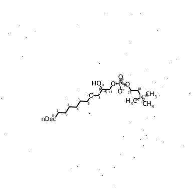 CCCCCCCCCCCCCCCCOC[C@@H](O)COP(=O)([O-])OCC[N+](C)(C)C